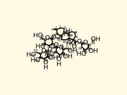 C=C1CC[C@H]2C3(C)CCCC(C)(C(=O)O[C@H]4C[C@@H](O)C(O)[C@@H](CO)O4)[C@H]3CC[C@]2(CO[C@@H]2OC(CO)[C@@H](O)C(O[C@@H]3OC(CO)[C@@H](O)C(O)[C@H]3O)[C@H]2O[C@]2(C)OC(CO)[C@@H](O)C(O)[C@H]2O)C1